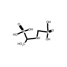 O=C(O)C(NCP(=O)(O)O)P(=O)(O)O